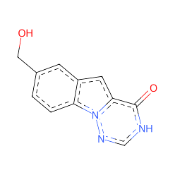 O=c1[nH]cnn2c1cc1cc(CO)ccc12